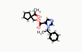 CC(=O)C1(COC(=O)c2cncn2[C@H](C)c2ccccc2)CCCC1